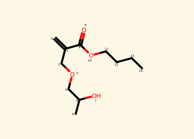 C=C(COCC(C)O)C(=O)OCCCC